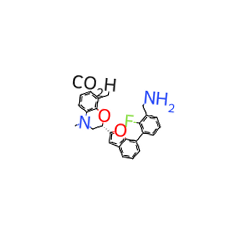 CN1C[C@@H](c2cc3cccc(-c4cccc(CN)c4F)c3o2)Oc2c(CC(=O)O)cccc21